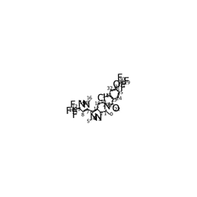 CC1c2nn(C)c(-c3cc(C(F)(F)F)nn3C)c2CCN1C(=O)c1ccc(OC(F)(F)F)cc1Cl